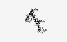 CNC(=O)CN(CCNCCNCC(=O)O)CC(=O)NCCNC(=O)CN(CCNCCNC(CC(=O)O)C(=O)O)CC(=O)NC